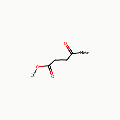 CCOC(=O)CCC(=O)NC